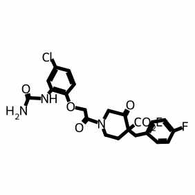 CCOC(=O)C1(Cc2ccc(F)cc2)CCN(C(=O)COc2ccc(Cl)cc2NC(N)=O)CC1=O